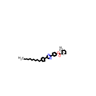 CCCCCCCCCCc1ccc(-c2cnc(-c3ccc(OC(=O)[C@H]4CCCC[C@H]4C)cc3)nc2)cc1